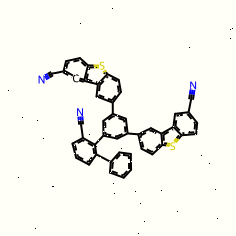 N#Cc1ccc2sc3ccc(-c4cc(-c5ccc6sc7ccc(C#N)cc7c6c5)cc(-c5c(C#N)cccc5-c5ccccc5)c4)cc3c2c1